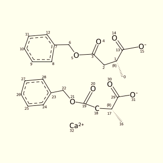 C[C@H](CC(=O)OCc1ccccc1)C(=O)[O-].C[C@H](CC(=O)OCc1ccccc1)C(=O)[O-].[Ca+2]